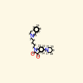 CCN(CCCCCN1C(=O)C(=O)c2cc(N3CCCCC3)ccc21)Cc1ccccc1